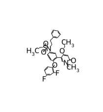 CCOc1cc(=O)n(C)cc1-c1cc(N(CCc2ccccc2)S(=O)(=O)CC)ccc1Oc1ccc(F)cc1F